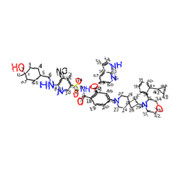 CC1(O)CCC(CNc2ncc(S(=O)(=O)NC(=O)c3ccc(N4CCC5(CC4)CC(N4CCOC[C@@H]4c4ccccc4C4CC4)C5)cc3Oc3cnc4[nH]ccc4c3)cc2[N+](=O)[O-])CC1